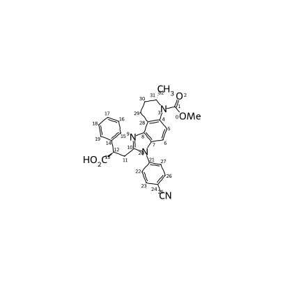 COC(=O)N1c2ccc3c(nc(C[C@@H](C(=O)O)c4ccccc4)n3-c3ccc(C#N)cc3)c2CC[C@@H]1C